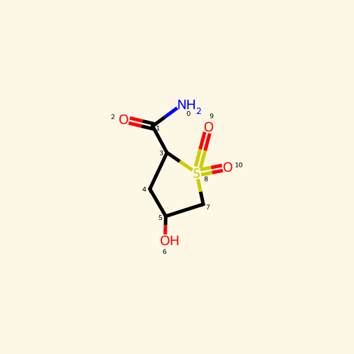 NC(=O)C1[CH]C(O)CS1(=O)=O